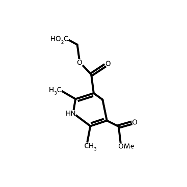 COC(=O)C1=C(C)NC(C)=C(C(=O)OCC(=O)O)C1